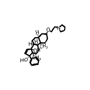 C[C@]12CC[C@H](OCCN3CCCC3)C[C@@H]1CC[C@@H]1[C@@H]2CC[C@]2(C)[C@@](O)(c3ccccc3)C=C[C@]12O